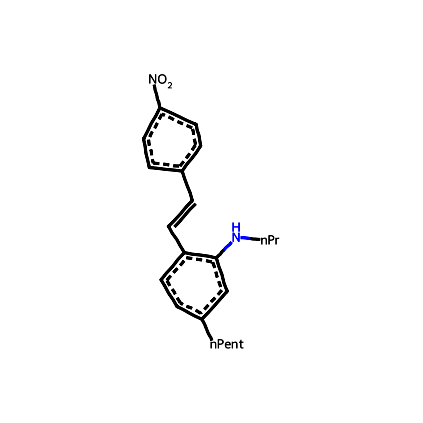 CCCCCc1ccc(C=Cc2ccc([N+](=O)[O-])cc2)c(NCCC)c1